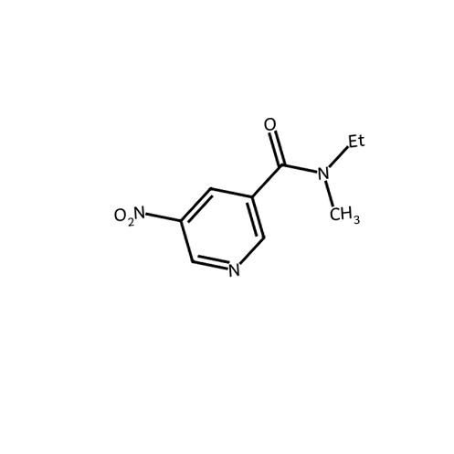 CCN(C)C(=O)c1cncc([N+](=O)[O-])c1